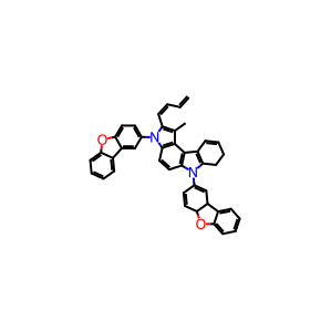 C=C/C=C\c1c(C)c2c3c4c(n(C5=CC6c7ccccc7OC6C=C5)c3ccc2n1-c1ccc2oc3ccccc3c2c1)CCC=C4